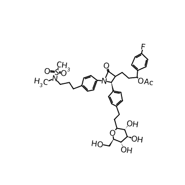 CC(=O)O[C@@H](CCC1C(=O)N(c2ccc(CCCN(C)S(C)(=O)=O)cc2)[C@@H]1c1ccc(CCC2O[C@H](CO)[C@@H](O)[C@H](O)[C@H]2O)cc1)c1ccc(F)cc1